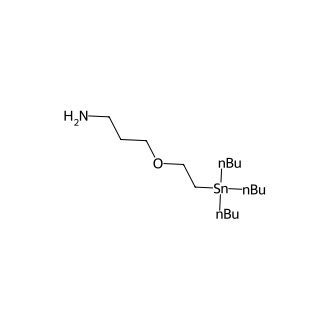 CCC[CH2][Sn]([CH2]CCC)([CH2]CCC)[CH2]COCCCN